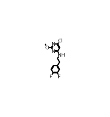 COc1nc(Cl)cc(NCCc2ccc(F)c(F)c2)n1